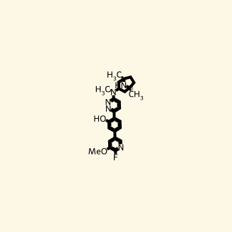 COc1cc(-c2ccc(-c3ccc(N(C)C4C[C@]5(C)CC[C@](C)(C4)N5)nn3)c(O)c2)cnc1F